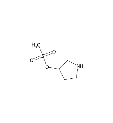 CS(=O)(=O)OC1CCNC1